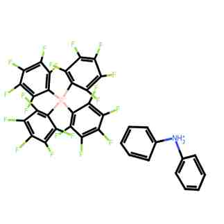 Fc1c(F)c(F)c([B-](c2c(F)c(F)c(F)c(F)c2F)(c2c(F)c(F)c(F)c(F)c2F)c2c(F)c(F)c(F)c(F)c2F)c(F)c1F.c1ccc([NH2+]c2ccccc2)cc1